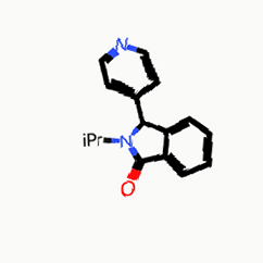 CC(C)N1C(=O)c2ccccc2C1c1ccncc1